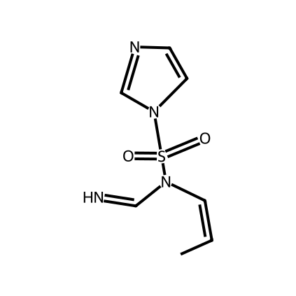 C/C=C\N(C=N)S(=O)(=O)n1ccnc1